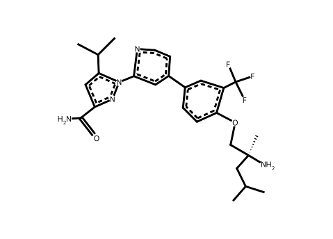 CC(C)C[C@](C)(N)COc1ccc(-c2ccnc(-n3nc(C(N)=O)cc3C(C)C)c2)cc1C(F)(F)F